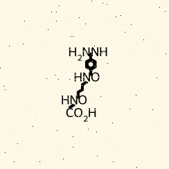 N=C(N)c1ccc(C(=O)NCCCCC(=O)NCCC(=O)O)cc1